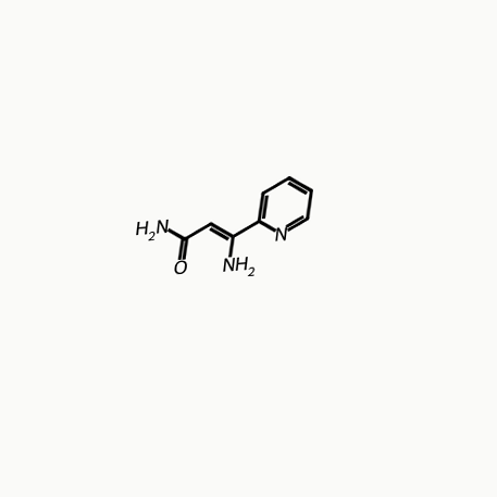 NC(=O)C=C(N)c1ccccn1